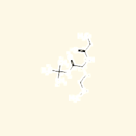 CCC(=O)N[C@H](CCSC)C(=O)OC(C)(C)C